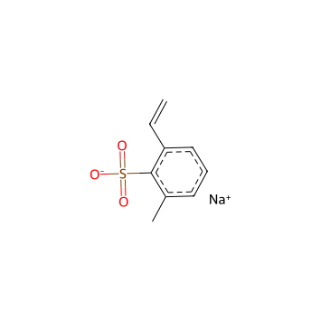 C=Cc1cccc(C)c1S(=O)(=O)[O-].[Na+]